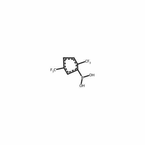 OB(O)c1cc(C(F)(F)F)ccc1C(F)(F)F